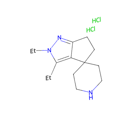 CCc1c2c(nn1CC)CCC21CCNCC1.Cl.Cl